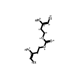 CCC=C(CCC)CCOC(=O)OCCC(=CCC)CCC